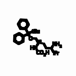 CC(C)C(N)CC[C@@H](CO[Si](c1ccccc1)(c1ccccc1)C(C)(C)C)NC(=O)O